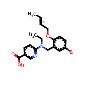 C/C=C/COc1ccc(Br)cc1CN(CC)c1ccc(C(=O)O)cn1